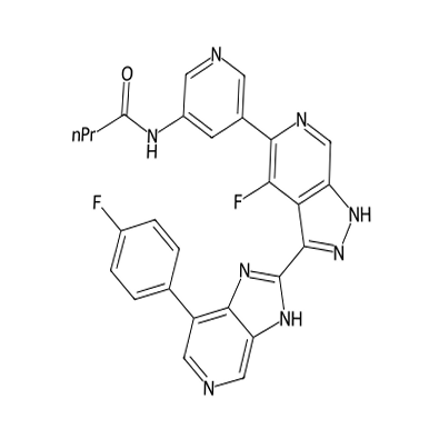 CCCC(=O)Nc1cncc(-c2ncc3[nH]nc(-c4nc5c(-c6ccc(F)cc6)cncc5[nH]4)c3c2F)c1